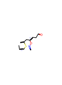 C=NO/C(=C\CC=O)CC(=C)S/C=C\C